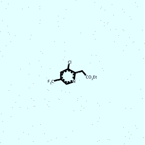 CCOC(=O)Cc1ncc(C(F)(F)F)cc1Cl